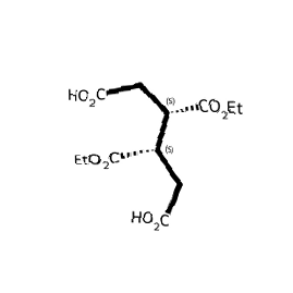 CCOC(=O)[C@@H](CC(=O)O)[C@H](CC(=O)O)C(=O)OCC